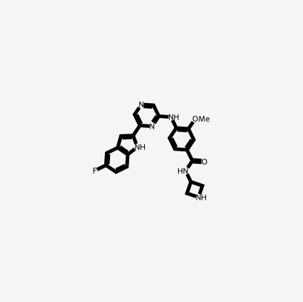 COc1cc(C(=O)NC2CNC2)ccc1Nc1cncc(-c2cc3cc(F)ccc3[nH]2)n1